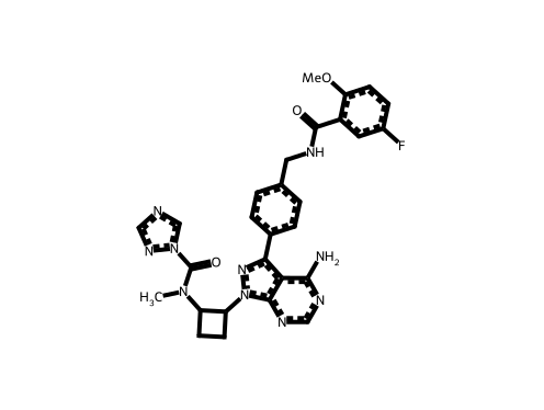 COc1ccc(F)cc1C(=O)NCc1ccc(-c2nn(C3CCC3N(C)C(=O)n3cncn3)c3ncnc(N)c23)cc1